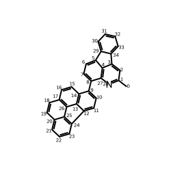 Cc1cc2c3c(ccc(-c4ccc5c6c4ccc4ccc7cccc-5c7c46)c3n1)-c1ccccc1-2